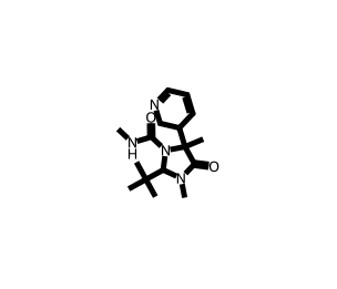 CNC(=O)N1C(C(C)(C)C)N(C)C(=O)C1(C)C1C=CC=NC1